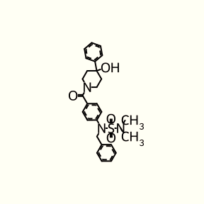 CN(C)S(=O)(=O)N(Cc1ccccc1)c1ccc(C(=O)N2CCC(O)(c3ccccc3)CC2)cc1